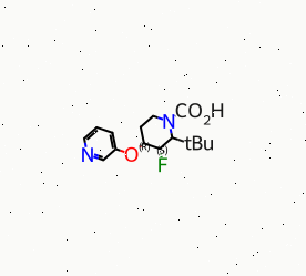 CC(C)(C)C1[C@H](F)[C@H](Oc2cccnc2)CCN1C(=O)O